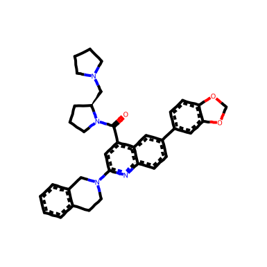 O=C(c1cc(N2CCc3ccccc3C2)nc2ccc(-c3ccc4c(c3)OCO4)cc12)N1CCC[C@H]1CN1CCCC1